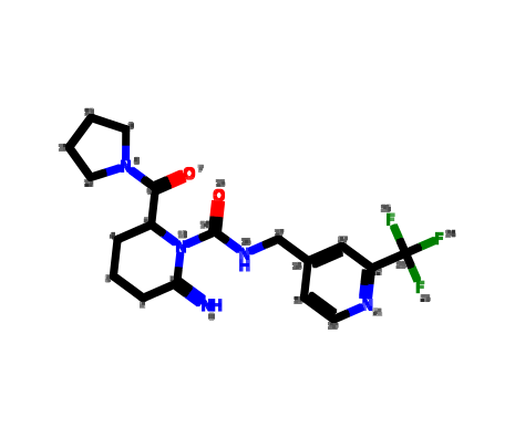 N=C1CCCC(C(=O)N2CCCC2)N1C(=O)NCc1ccnc(C(F)(F)F)c1